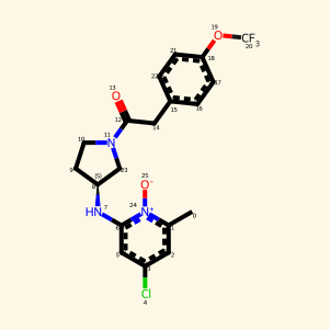 Cc1cc(Cl)cc(N[C@H]2CCN(C(=O)Cc3ccc(OC(F)(F)F)cc3)C2)[n+]1[O-]